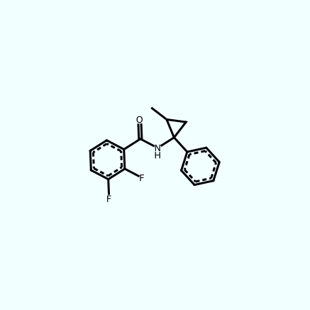 CC1CC1(NC(=O)c1cccc(F)c1F)c1ccccc1